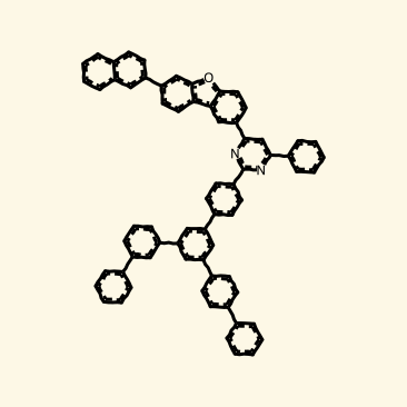 c1ccc(-c2ccc(-c3cc(-c4ccc(-c5nc(-c6ccccc6)cc(-c6ccc7oc8cc(-c9ccc%10ccccc%10c9)ccc8c7c6)n5)cc4)cc(-c4cccc(-c5ccccc5)c4)c3)cc2)cc1